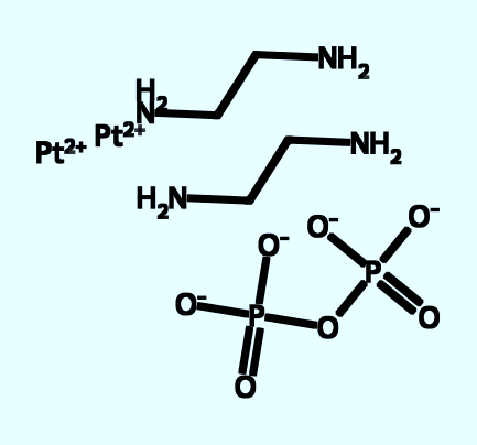 NCCN.NCCN.O=P([O-])([O-])OP(=O)([O-])[O-].[Pt+2].[Pt+2]